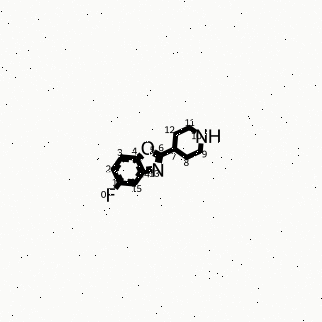 Fc1ccc2oc(C3CCNCC3)nc2c1